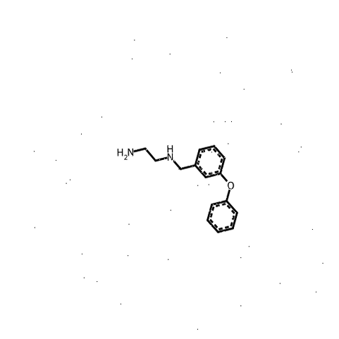 NCCNCc1cccc(Oc2ccccc2)c1